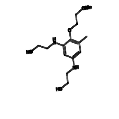 COCCOc1c(C)cc(NCCO)cc1NCCO